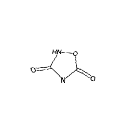 O=C1[N]C(=O)ON1